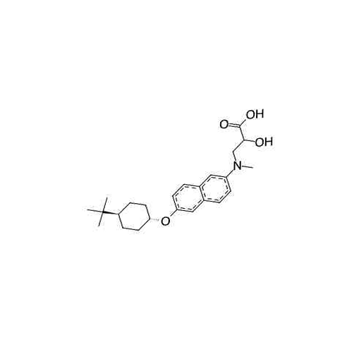 CN(CC(O)C(=O)O)c1ccc2cc(O[C@H]3CC[C@H](C(C)(C)C)CC3)ccc2c1